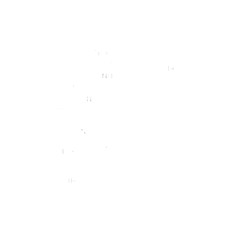 CC(C)CC(NC(=O)c1ccc(C(C)(C)C)cc1)C(=O)N1CCC2C1C(=O)CN2C(=O)C(O)CC(C)(C)C